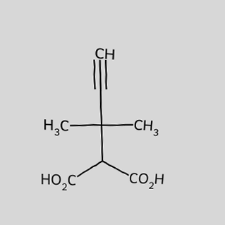 C#CC(C)(C)C(C(=O)O)C(=O)O